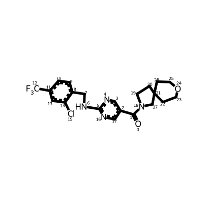 O=C(c1cnc(NCc2ccc(C(F)(F)F)cc2Cl)nc1)N1CCC2(CCOCC2)C1